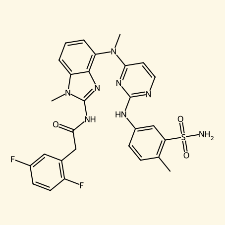 Cc1ccc(Nc2nccc(N(C)c3cccc4c3nc(NC(=O)Cc3cc(F)ccc3F)n4C)n2)cc1S(N)(=O)=O